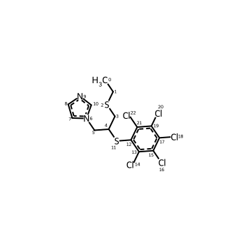 CCSCC(Cn1ccnc1)Sc1c(Cl)c(Cl)c(Cl)c(Cl)c1Cl